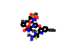 C=C[C@@H]1C[C@]1(NC(=O)[C@@H]1C[C@@H](Oc2cc(-c3csc(NC(C)C)n3)nc3cc(OC)ccc23)CN1C(=O)C(NC(=O)OC1CCCC1)C(C)(C)C)P(=O)(O)C(C)C